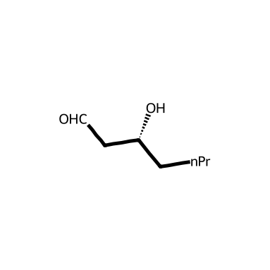 CCCC[C@@H](O)CC=O